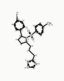 Cc1ccc(S(=O)(=O)N2C(CCCc3ncon3)CCC2c2ccc(F)cc2)cc1